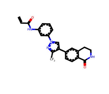 C=CC(=O)Nc1cccc(-n2cc(-c3ccc4c(c3)CCNC4=O)c(C(F)(F)F)n2)c1